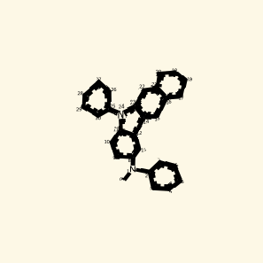 CN(c1ccccc1)c1ccc2c(c1)c1cc3ccccc3cc1n2-c1ccccc1